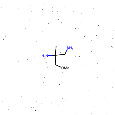 COCC(C)(N)CN